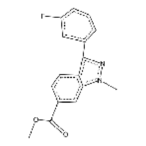 COC(=O)c1ccc2c(-c3cccc(F)c3)nn(C)c2c1